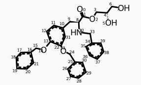 O=C(OC[C@@H](O)CO)[C@H](Cc1ccc(OCc2ccccc2)c(OCc2ccccc2)c1)NCc1ccccc1